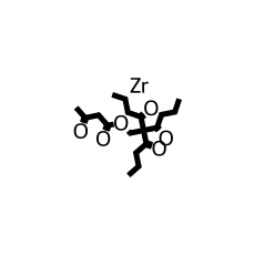 CCCC(=O)C(COC(=O)CC(C)=O)(C(=O)CCC)C(=O)CCC.[Zr]